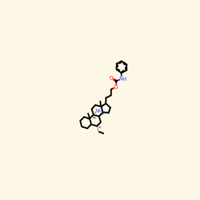 CC[C@H]1CC2C3CCC(CCCOC(=O)Nc4ccccc4)C3(C)CC[C@]2(N)C2(C)CCCCC12